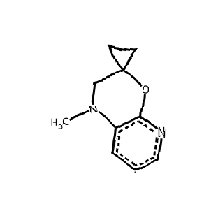 CN1CC2(CC2)Oc2nc[c]cc21